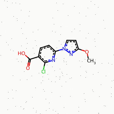 COc1ccn(-c2ccc(C(=O)O)c(Cl)n2)n1